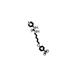 O=[N+]([O-])c1ccc(OCCCCCCNC(=S)Nc2ccncc2)cc1